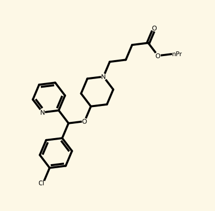 CCCOC(=O)CCCN1CCC(OC(c2ccc(Cl)cc2)c2ccccn2)CC1